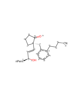 CCCCC[C@H](O)/C=C/[C@@]1(Cc2ccccc2CCCC#N)CCCC1=O